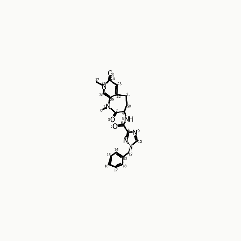 CN1C(=O)C(NC(=O)c2ncn(Cc3ccccc3)n2)CCc2cc(=O)n(C)cc21